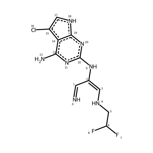 N=C/C(=C\NCC(F)F)Nc1nc(N)c2c(Cl)c[nH]c2n1